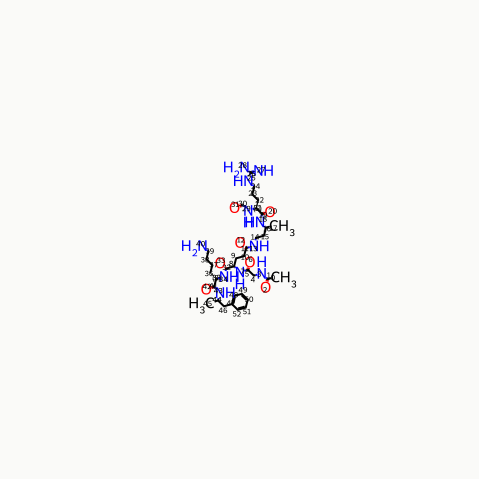 CC(=O)NCC(=O)NC(CCC(=O)NCCC(C)NC(=O)[C@H](CCCNC(=N)N)NC=O)C(=O)N[C@@H](CCCCN)C(=O)NC(C)Cc1ccccc1